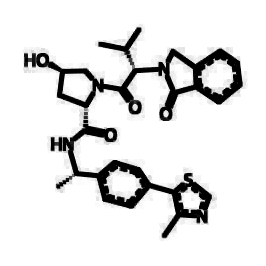 Cc1ncsc1-c1ccc([C@H](C)NC(=O)[C@@H]2C[C@@H](O)CN2C(=O)[C@H](C(C)C)N2Cc3ccccc3C2=O)cc1